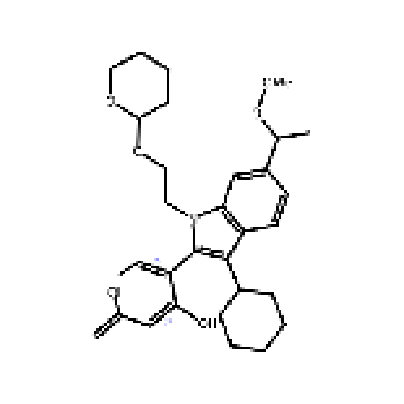 C=C(O)/C=C(O)\C(=C/C)c1c(C2CCCCC2)c2ccc(C(C)OOC)cc2n1CCOC1CCCCO1